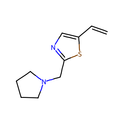 C=Cc1cnc(CN2CCCC2)s1